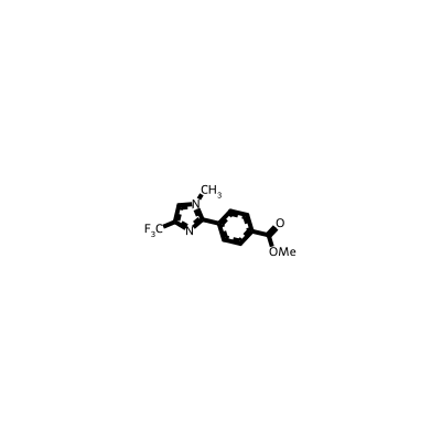 COC(=O)c1ccc(-c2nc(C(F)(F)F)cn2C)cc1